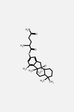 Cc1cc(OC(=O)C(N)CCC(N)=O)cc2c1C1(C)CCC3C(C)(C)CCC[C@]3(C)[C@H]1C2